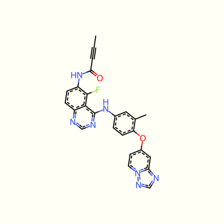 CC#CC(=O)Nc1ccc2ncnc(Nc3ccc(Oc4ccn5ncnc5c4)c(C)c3)c2c1F